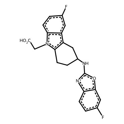 O=C(O)Cn1c2c(c3cc(F)ccc31)CC(Nc1nc3ccc(F)cc3o1)CC2